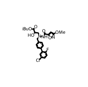 COc1cc(C(=O)NN(Cc2ccc(-c3cc(Cl)ccc3F)cc2)C[C@@H](O)C(=O)OCC(C)C)on1